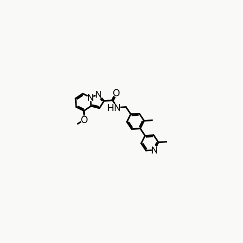 COc1cccn2nc(C(=O)NCc3ccc(-c4ccnc(C)c4)c(C)c3)cc12